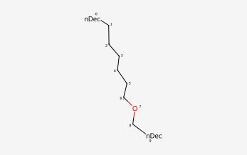 CCCCCCCCCCCCCCC[CH]OCCCCCCCCCCC